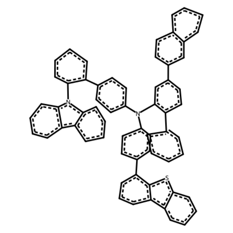 c1ccc(-c2ccc(-c3ccc4ccccc4c3)cc2N(c2ccc(-c3ccccc3-n3c4ccccc4c4ccccc43)cc2)c2ccc(-c3cccc4c3sc3ccccc34)cc2)cc1